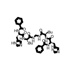 CCC(C)[C@H](NC(=O)[C@H](Cc1cnc[nH]1)NC(=O)c1ccccc1)C(=O)NCNC(=O)[C@H](NC(=O)[C@@H](Cc1cnc[nH]1)NC(=O)c1ccccc1)C(C)CC